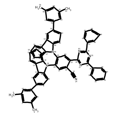 Cc1cc(C)cc(-c2ccc3c(c2)c2ccccc2n3-c2cc(C#N)c(-c3nc(-c4ccccc4)nc(-c4ccccc4)n3)cc2-n2c3ccccc3c3cc(-c4cc(C)cc(C)c4)ccc32)c1